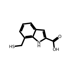 O=C(O)c1cc2cccc(CS)c2[nH]1